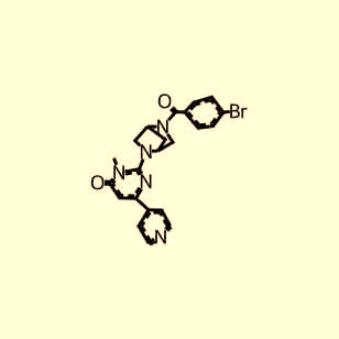 Cn1c(N2CC3CC2CN3C(=O)c2ccc(Br)cc2)nc(-c2ccncc2)cc1=O